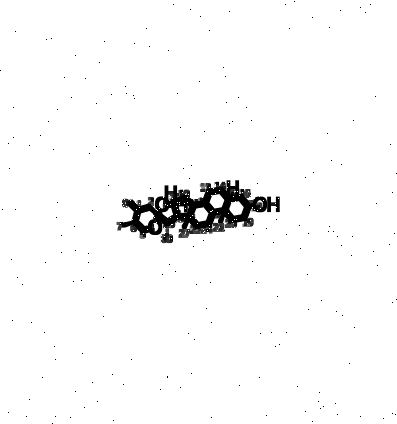 CC1C[C@@]2(OC[C@H]1C)O[C@H]1CC3C4CC[C@@H]5C[C@@H](O)CC[C@]5(C)C4CC[C@]3(C)[C@H]1[C@@H]2C